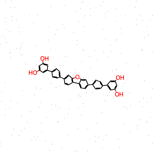 Oc1cc(O)cc(-c2ccc(-c3ccc4c(c3)oc3cc(-c5ccc(-c6cc(O)cc(O)c6)cc5)ccc34)cc2)c1